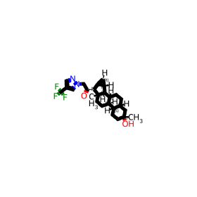 C[C@@]1(O)CC[C@H]2[C@H](CC[C@@H]3[C@@H]2CC[C@@]2(C)[C@H]3[C@@H]3C4[C@@H]3[C@]42C(=O)Cn2cc(C(F)(F)F)cn2)C1